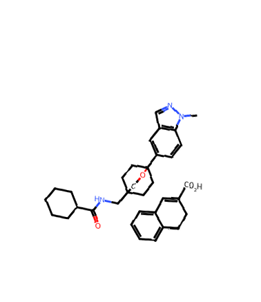 Cn1ncc2cc(C34CCC(CNC(=O)C5CCCCC5)(CC3)CO4)ccc21.O=C(O)C1=Cc2ccccc2CC1